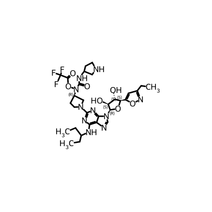 CCc1cc([C@H]2O[C@@H](n3cnc4c(NC(CC)CC)nc(N5CC[C@@H](N(OC(=O)C(F)(F)F)C(=O)NC6CCNC6)C5)nc43)[C@@H](O)[C@@H]2O)on1